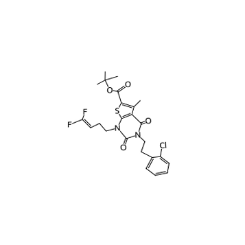 Cc1c(C(=O)OC(C)(C)C)sc2c1c(=O)n(CCc1ccccc1Cl)c(=O)n2CCC=C(F)F